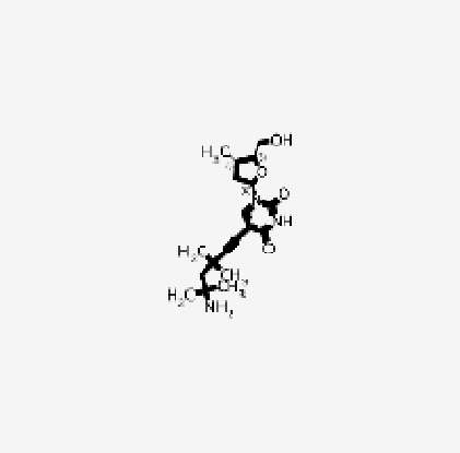 C[C@H]1C[C@H](n2cc(C#CC(C)(C)CC(C)(C)N)c(=O)[nH]c2=O)O[C@@H]1CO